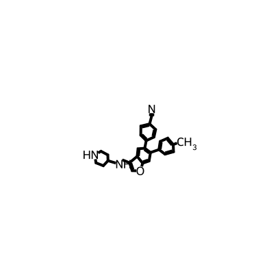 Cc1ccc(-c2cc3occ(CNC4CCNCC4)c3cc2-c2ccc(C#N)cc2)cc1